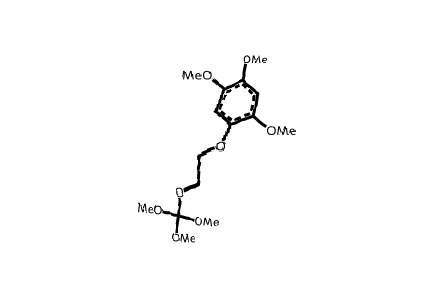 COc1cc(OC)c(OCCOC(OC)(OC)OC)cc1OC